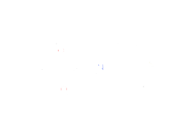 C[C@@H]1CSCCN1C(=O)OC(C)(C)C